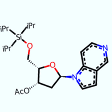 CC(=O)O[C@H]1C[C@H](n2ccc3cnccc32)O[C@H]1CO[Si](C(C)C)(C(C)C)C(C)C